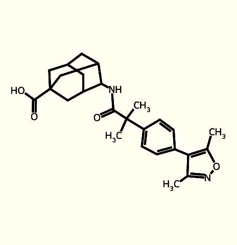 Cc1noc(C)c1-c1ccc(C(C)(C)C(=O)NC2C3CC4CC2CC(C(=O)O)(C4)C3)cc1